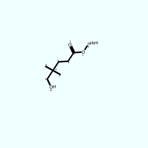 CCCCCCOC(=O)CCC(C)(C)CO